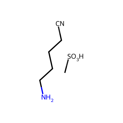 CS(=O)(=O)O.N#CCCCCN